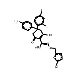 CCCCC(=NOCc1ccc(Cl)s1)C1=C(O)CC(c2ccc(C(F)(F)F)cc2)(c2ccc(F)cc2Cl)CC1=O